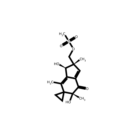 CC1=C2C(=C[C@@](C)(COS(C)(=O)=O)[C@@H]2O)C(=O)[C@](C)(O)C12CC2